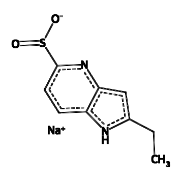 CCc1cc2nc(S(=O)[O-])ccc2[nH]1.[Na+]